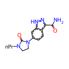 CCCN1CCN(c2ccc3c(C(N)=O)n[nH]c3c2)C1=O